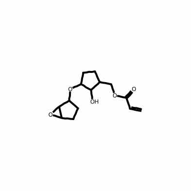 C=CC(=O)OCC1CCC(OC2CCC3OC23)C1O